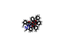 C=C(/N=C(\N=C(/C)c1cccc(C(C2=CCCC=C2)(C2=CCCC=C2)c2ccccc2)c1)c1c(C)cccc1C)c1cccc(C(c2ccccc2)(c2ccccc2)c2ccccc2)c1